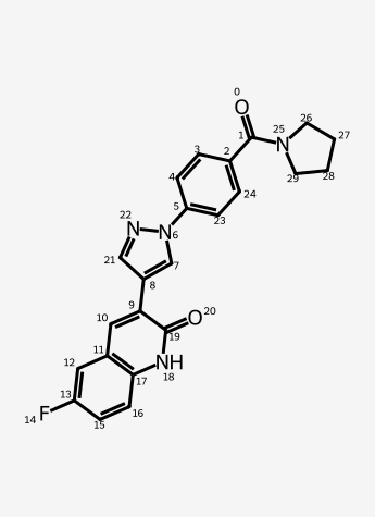 O=C(c1ccc(-n2cc(-c3cc4cc(F)ccc4[nH]c3=O)cn2)cc1)N1CCCC1